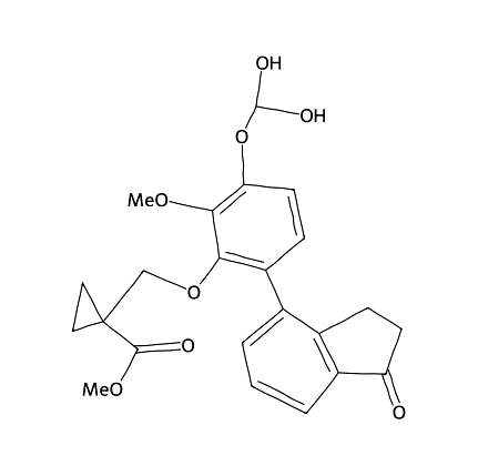 COC(=O)C1(COc2c(-c3cccc4c3CCC4=O)ccc(OC(O)O)c2OC)CC1